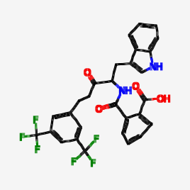 O=C(O)c1ccccc1C(=O)NC(Cc1c[nH]c2ccccc12)C(=O)CCc1cc(C(F)(F)F)cc(C(F)(F)F)c1